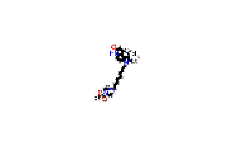 CCc1c(C)c2c3c(C(F)(F)F)cc(=O)[nH]c3ccc2n1CCCCCCCCCN1CCN(S(=O)(=O)CC)CC1